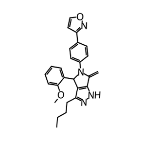 C=C1c2[nH]nc(CCCC)c2C(c2ccccc2OC)N1c1ccc(-c2ccon2)cc1